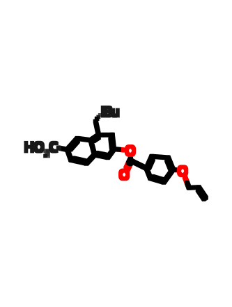 C=CCOc1ccc(C(=O)Oc2cc(C[C@@H](C)CC)c3cc(C(=O)O)ccc3c2)cc1